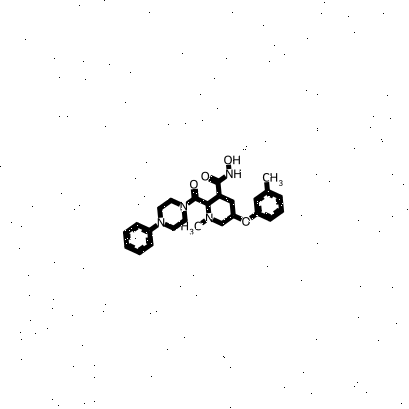 Cc1cccc(OC2CC(C(=O)NO)C(C(=O)N3CCN(c4ccccc4)CC3)N(C)C2)c1